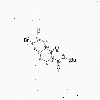 CC(C)(C)OC(=O)N1CCc2cc(Br)c(F)cc2C1=O